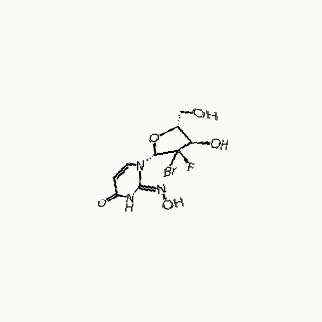 O=c1ccn([C@@H]2O[C@H](CO)[C@@H](O)[C@]2(F)Br)/c(=N/O)[nH]1